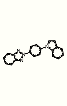 c1ccc2c(c1)ccn2-c1ccc(-n2nc3ccccc3n2)cc1